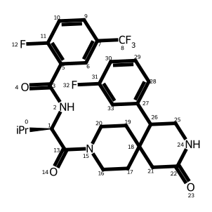 CC(C)[C@@H](NC(=O)c1cc(C(F)(F)F)ccc1F)C(=O)N1CCC2(CC1)CC(=O)NCC2c1cccc(F)c1